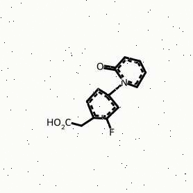 O=C(O)Cc1ccc(-n2ccccc2=O)cc1F